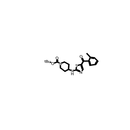 Cc1ccccc1C(=O)c1cnc(NC2CCN(C(=O)OC(C)(C)C)CC2)s1